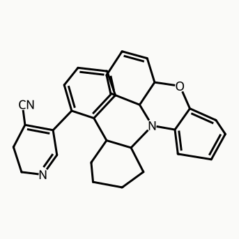 N#CC1=C(c2ccccc2C2CCCCC2N2c3ccccc3OC3C=CC=CC32)C=NCC1